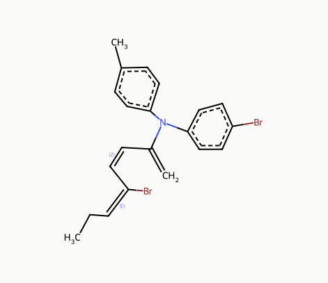 C=C(/C=C\C(Br)=C/CC)N(c1ccc(C)cc1)c1ccc(Br)cc1